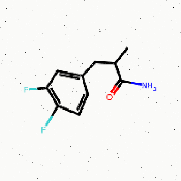 CC(Cc1ccc(F)c(F)c1)C(N)=O